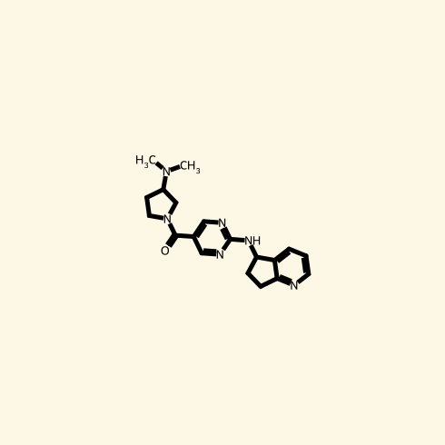 CN(C)C1CCN(C(=O)c2cnc(NC3CCc4ncccc43)nc2)C1